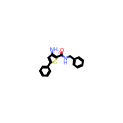 Nc1cc(-c2ccccc2)sc1C(=O)NCc1ccccc1